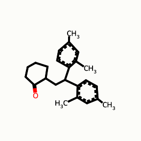 Cc1ccc(C(CC2CCCCC2=O)c2ccc(C)cc2C)c(C)c1